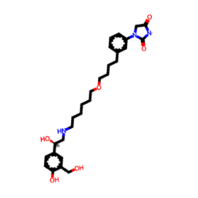 O=C1CN(c2cccc(CCCCOCCCCCCNC[C@H](O)c3ccc(O)c(CO)c3)c2)C(=O)[N]1